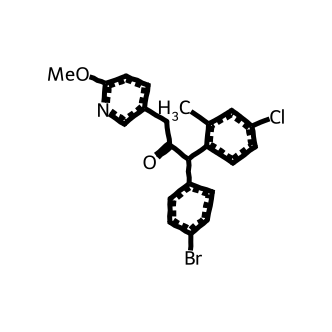 COc1ccc(CC(=O)C(c2ccc(Br)cc2)c2ccc(Cl)cc2C)cn1